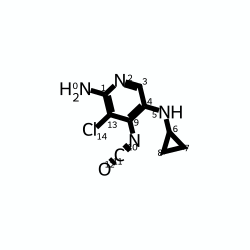 Nc1ncc(NC2CC2)c(N=C=O)c1Cl